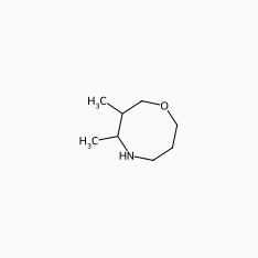 CC1COCCCNC1C